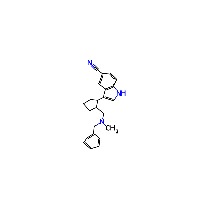 CN(Cc1ccccc1)CC1CCCC1c1c[nH]c2ccc(C#N)cc12